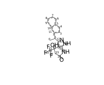 CC(c1ccc2ccccc2c1)c1n[nH]c2c1C(O)(C(F)(F)F)CC(=O)N2